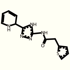 O=C(Cc1cccs1)Nc1nnc(C2C=CC=CN2)[nH]1